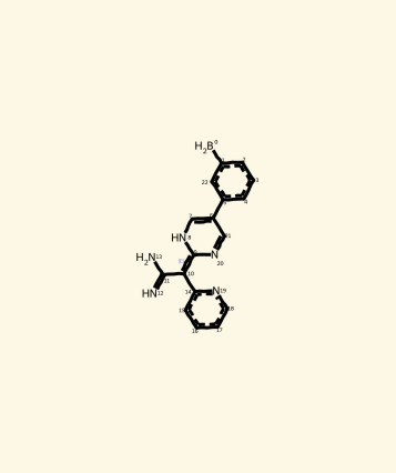 Bc1cccc(C2=CN/C(=C(\C(=N)N)c3ccccn3)N=C2)c1